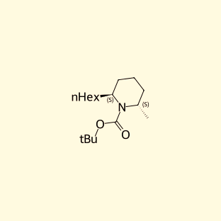 CCCCCC[C@H]1CCC[C@H](C)N1C(=O)OC(C)(C)C